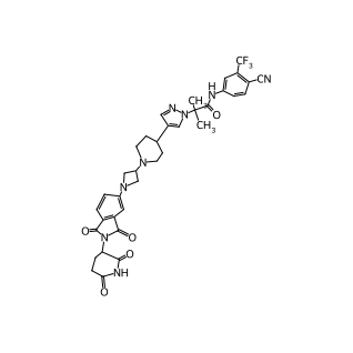 CC(C)(C(=O)Nc1ccc(C#N)c(C(F)(F)F)c1)n1cc(C2CCN(C3CN(c4ccc5c(c4)C(=O)N(C4CCC(=O)NC4=O)C5=O)C3)CC2)cn1